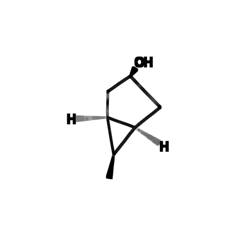 C[C@H]1[C@H]2C[C@@H](O)C[C@@H]12